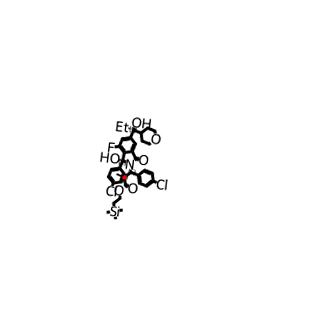 CC[C@@](O)(c1cc(F)c2c(c1)C(=O)N([C@H](c1ccc(Cl)cc1)[C@H](C)C(=O)OCC[Si](C)(C)C)[C@@]2(O)c1ccc(Cl)cc1)C1CCOCC1